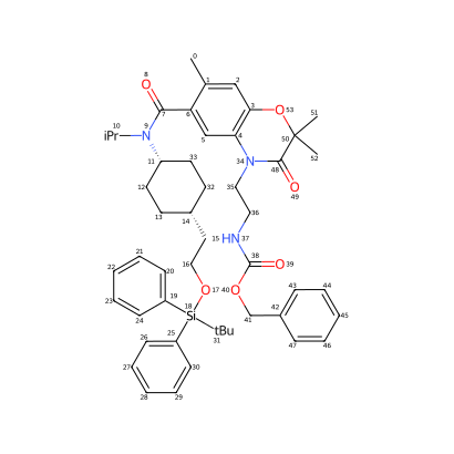 Cc1cc2c(cc1C(=O)N(C(C)C)[C@H]1CC[C@@H](CCO[Si](c3ccccc3)(c3ccccc3)C(C)(C)C)CC1)N(CCNC(=O)OCc1ccccc1)C(=O)C(C)(C)O2